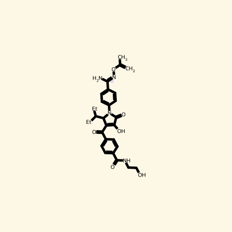 C=C(C)O/N=C(\N)c1ccc(N2C(=O)C(O)=C(C(=O)c3ccc(C(=O)NCCO)cc3)C2C(CC)CC)cc1